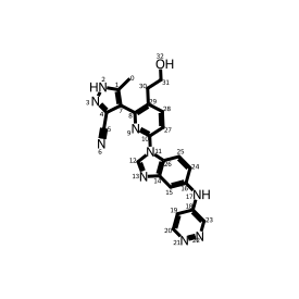 Cc1[nH]nc(C#N)c1-c1nc(-n2cnc3cc(Nc4ccnnc4)ccc32)ccc1CCO